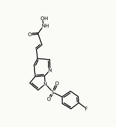 O=C(C=Cc1cnc2c(ccn2S(=O)(=O)c2ccc(F)cc2)c1)NO